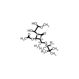 COC(O)C(O)N1C(=O)[C@@H]([C@@H](C)O[Si](C)(C)C(C)(C)C)[C@H]1OC(C)=O